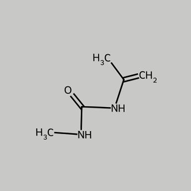 C=C(C)NC(=O)NC